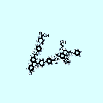 CN(CCO)CCC(CSc1ccccc1)Nc1ccc(S(=O)(=O)NC(=O)c2ccc(N3CCC([C@H](O)c4cc(C(=O)Nc5ccc(N6CCC(C(=O)O)CC6)cc5)ccc4-c4ccc(Cl)cc4)CC3)cc2)cc1S(=O)(=O)C(F)(F)F